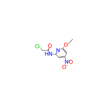 CCOc1cc([N+](=O)[O-])cc(NC(=O)CCl)n1